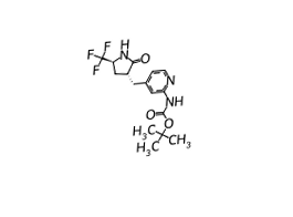 CC(C)(C)OC(=O)Nc1cc(C[C@@H]2C[C@@H](C(F)(F)F)NC2=O)ccn1